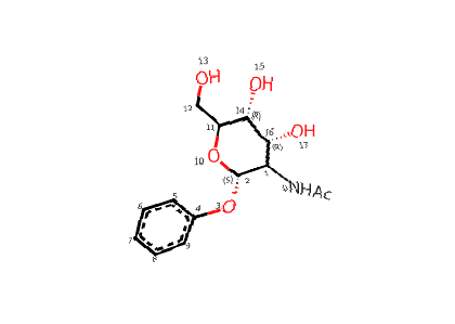 CC(=O)NC1[C@H](Oc2ccccc2)OC(CO)[C@H](O)[C@@H]1O